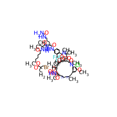 C=C(CBr)C(=O)OC(C)CCCCC(=O)N[C@H](C(=O)N[C@@H](CCCNC(N)=O)C(=O)Nc1ccc(C(=O)N(C)[C@@H](C)C(=O)O[C@H]2CC(=O)N(C)c3cc(cc(OC)c3Cl)C/C(C)=C/C=C/[C@@H](OC)[C@@]3(O)C[C@H](OC(=O)N3)[C@@H](C)[C@@H]3O[C@@]23C)c(C(F)(F)F)c1)C(C)C